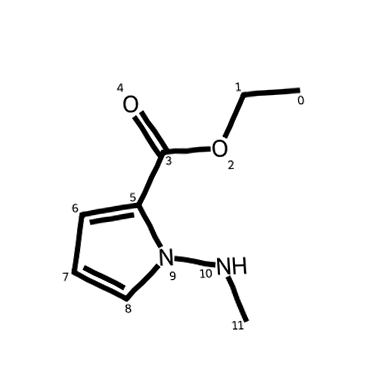 CCOC(=O)c1cccn1NC